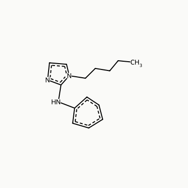 CCCCCn1ccnc1Nc1ccccc1